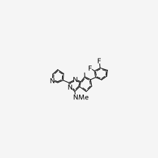 CNc1nc(-c2cccnc2)nc2c(C)c(-c3cccc(F)c3F)ccc12